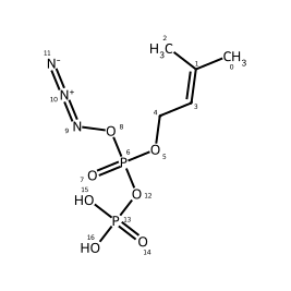 CC(C)=CCOP(=O)(ON=[N+]=[N-])OP(=O)(O)O